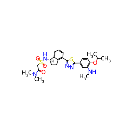 CNc1cc(-c2nnc(-c3cccc4c3CC[C@@H]4NS(=O)(=O)CC(=O)N(C)C)s2)ccc1OC(C)C